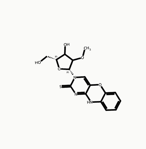 COC1C(O)[C@@H](CO)O[C@H]1n1cc2c(nc1=S)Nc1ccccc1O2